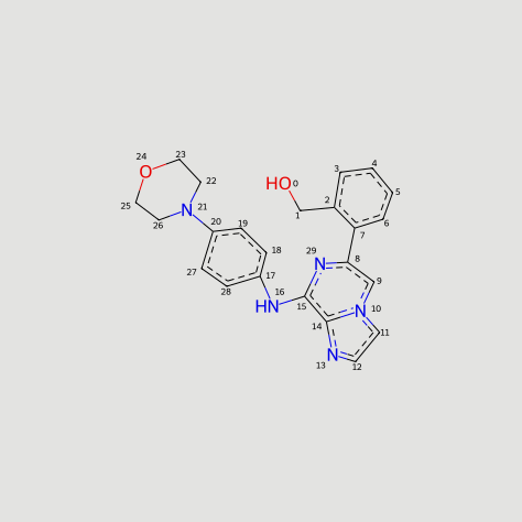 OCc1ccccc1-c1cn2ccnc2c(Nc2ccc(N3CCOCC3)cc2)n1